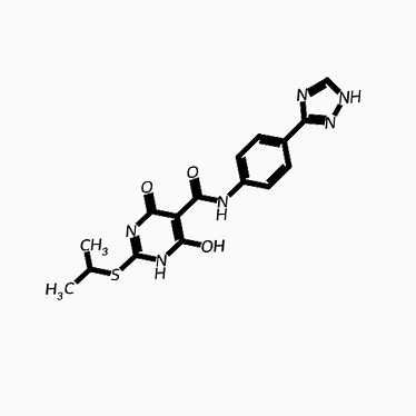 CC(C)Sc1nc(=O)c(C(=O)Nc2ccc(-c3nc[nH]n3)cc2)c(O)[nH]1